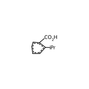 CC(C)c1ccccc1C(=O)O